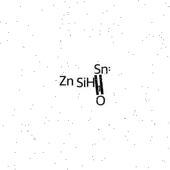 [O]=[Sn].[SiH4].[Zn]